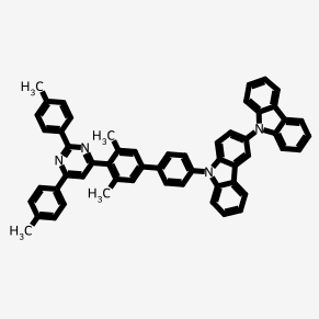 Cc1ccc(-c2cc(-c3c(C)cc(-c4ccc(-n5c6ccccc6c6cc(-n7c8ccccc8c8ccccc87)ccc65)cc4)cc3C)nc(-c3ccc(C)cc3)n2)cc1